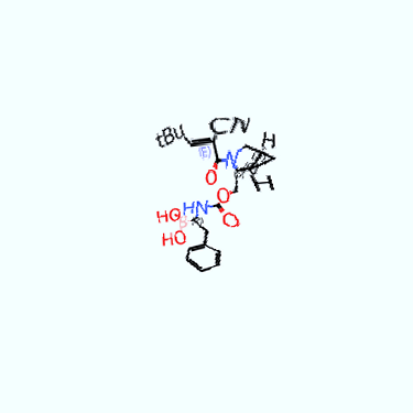 CC(C)(C)/C=C(\C#N)C(=O)N1C[C@H]2C[C@H]2[C@H]1COC(=O)N[C@@H](Cc1ccccc1)B(O)O